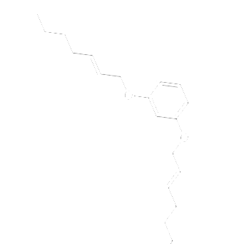 CCCCC=CCOc1[c]ccc(OCC=CCCCC)c1